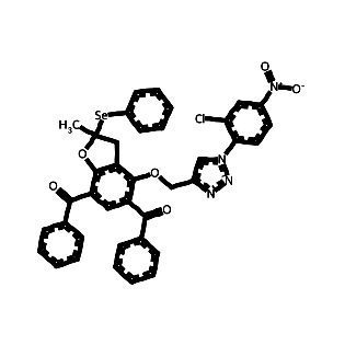 CC1([Se]c2ccccc2)Cc2c(OCc3cn(-c4ccc([N+](=O)[O-])cc4Cl)nn3)c(C(=O)c3ccccc3)cc(C(=O)c3ccccc3)c2O1